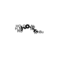 CCCCn1cc(-c2nc(-c3ccc4oc(C(N)(CO)CO)cc4c3)no2)cn1